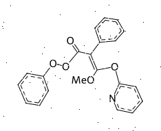 COC(Oc1ccccn1)=C(C(=O)OOc1ccccc1)c1ccccc1